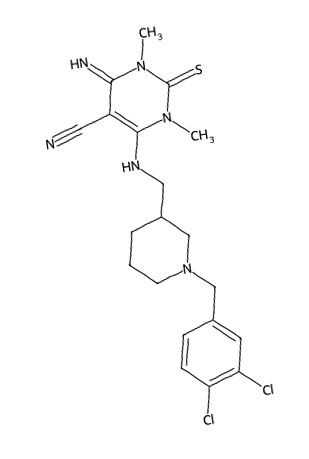 Cn1c(NCC2CCCN(Cc3ccc(Cl)c(Cl)c3)C2)c(C#N)c(=N)n(C)c1=S